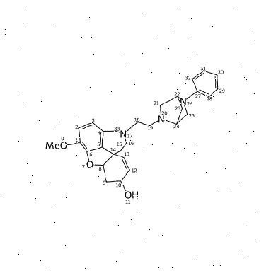 COc1ccc2c3c1OC1CC(O)C=CC31CCN(CCN1CC3CC1CN3c1ccccc1)C2